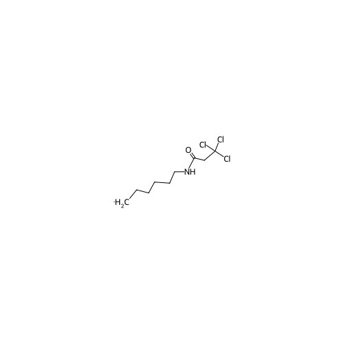 [CH2]CCCCCNC(=O)CC(Cl)(Cl)Cl